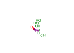 Cl.Cl.Cl.Cl.Cl.O=P